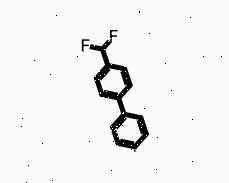 FC(F)c1ccc(-c2cc[c]cc2)cc1